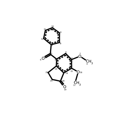 COc1cc(C(=O)c2ccccc2)c2c(c1OC)C(=O)CC2